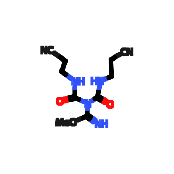 COC(=N)N(C(=O)NCCC#N)C(=O)NCCC#N